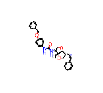 O=C(Nc1ccc(OCc2ccccc2)cc1)N[C@H]1COC2[C@H](/C=C\c3ccccc3)CO[C@@H]21